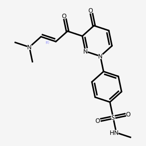 CNS(=O)(=O)c1ccc(-n2ccc(=O)c(C(=O)/C=C/N(C)C)n2)cc1